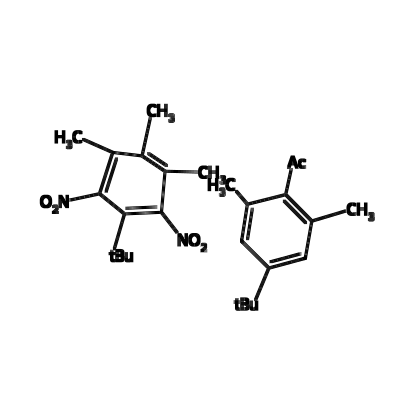 CC(=O)c1c(C)cc(C(C)(C)C)cc1C.Cc1c(C)c([N+](=O)[O-])c(C(C)(C)C)c([N+](=O)[O-])c1C